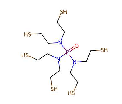 O=P(N(CCS)CCS)(N(CCS)CCS)N(CCS)CCS